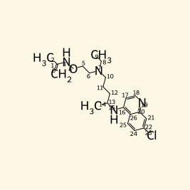 C=C(C)NOCCN(CC)CCCC(C)Nc1ccnc2cc(Cl)ccc12